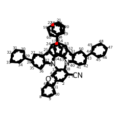 N#Cc1cc2c(oc3ccccc32)c(-n2c3ccc(-c4ccccc4)cc3c3cc(-c4ccccc4)ccc32)c1-n1c2ccc(-c3ccccc3)cc2c2cc(-c3ccccc3)ccc21